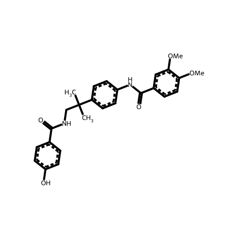 COc1ccc(C(=O)Nc2ccc(C(C)(C)CNC(=O)c3ccc(O)cc3)cc2)cc1OC